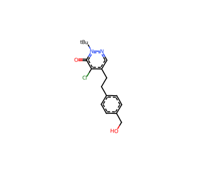 CC(C)(C)n1ncc(CCc2ccc(CO)cc2)c(Cl)c1=O